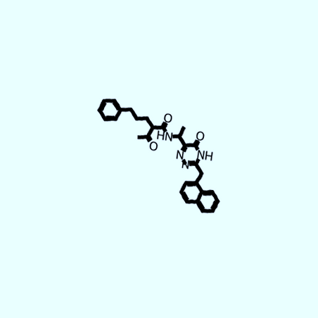 CC(=O)C(CCCc1ccccc1)C(=O)NC(C)c1nnc(Cc2cccc3ccccc23)[nH]c1=O